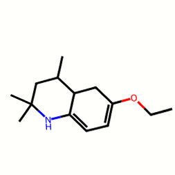 CCOC1=CC=C2NC(C)(C)CC(C)C2C1